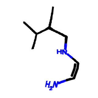 CC(C)C(C)CN/C=C\N